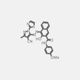 COc1ccc(NC(=O)c2cc3ccccc3c(/N=N/c3c(C#N)c(C)nn3-c3nccs3)c2O)cc1